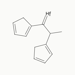 CC([C](=[Hf])C1=CC=CC1)C1=CC=CC1